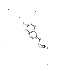 CCCC1C=CC2=C(C=CC(I)C2)C1